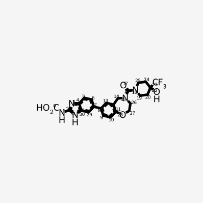 O=C(O)Nc1nc2ccc(-c3ccc4c(c3)CN(C(=O)N3CCC(O)(C(F)(F)F)CC3)CCO4)cc2[nH]1